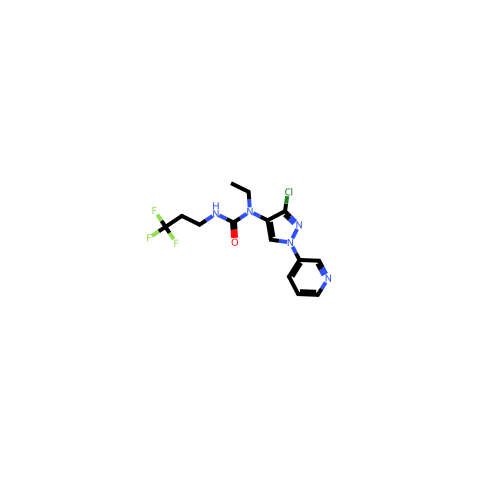 CCN(C(=O)NCCC(F)(F)F)c1cn(-c2cccnc2)nc1Cl